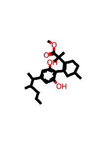 CCCC(C)C(C)c1cc(O)c(C2=C(C(C)(C)C(=O)OC)CCC(C)C2)c(O)c1